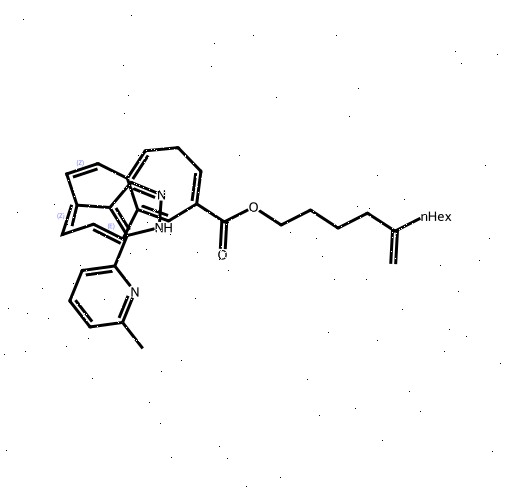 C=C(CCCCCC)CCCCOC(=O)C1=CCC=C2\C=C/C(c3cn[nH]c3-c3cccc(C)n3)=C/C=C/C2=C1